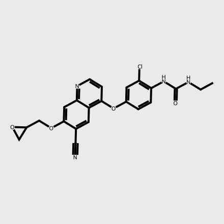 CCNC(=O)Nc1ccc(Oc2ccnc3cc(OCC4CO4)c(C#N)cc23)cc1Cl